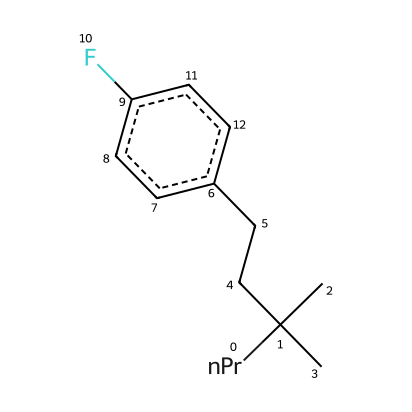 CCCC(C)(C)CCc1ccc(F)cc1